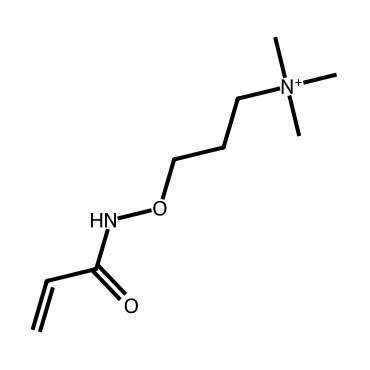 C=CC(=O)NOCCC[N+](C)(C)C